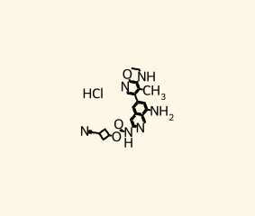 Cc1c(-c2cc(N)c3cnc(NC(=O)OC4CC(C#N)C4)cc3c2)cnc2c1NCCO2.Cl